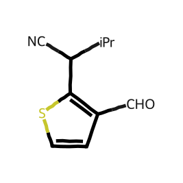 CC(C)C(C#N)c1sccc1C=O